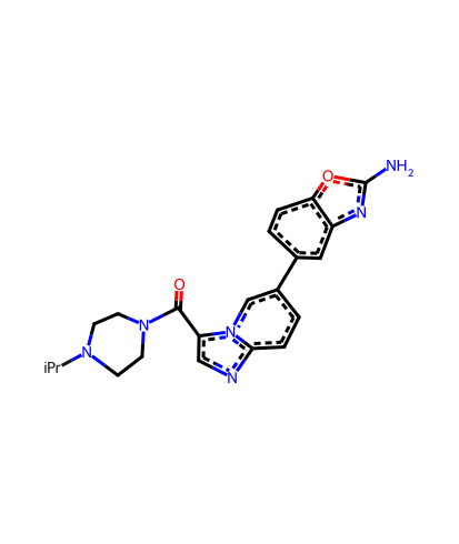 CC(C)N1CCN(C(=O)c2cnc3ccc(-c4ccc5oc(N)nc5c4)cn23)CC1